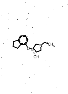 CCN1C[C@H](Oc2cccc3c2CCC3)[C@@H](O)C1